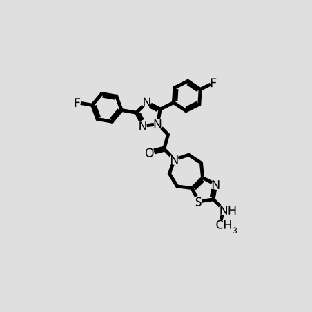 CNc1nc2c(s1)CCN(C(=O)Cn1nc(-c3ccc(F)cc3)nc1-c1ccc(F)cc1)CC2